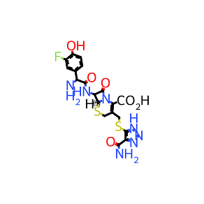 NC(=O)c1nn[nH]c1SCC1=C(C(=O)O)N2C(=O)C(NC(=O)C(N)c3ccc(O)c(F)c3)[C@@H]2SC1